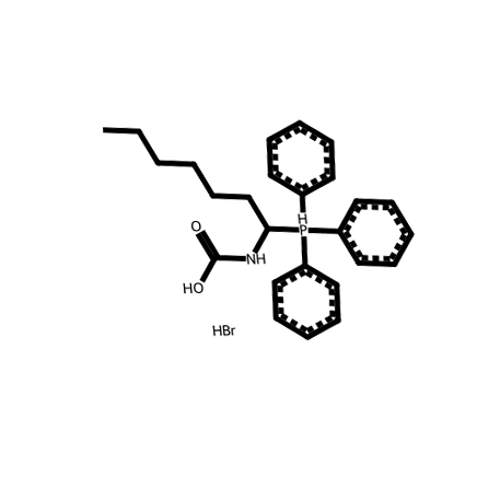 Br.CCCCCCC(NC(=O)O)[PH](c1ccccc1)(c1ccccc1)c1ccccc1